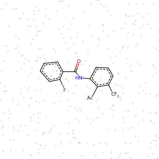 CC(=O)c1c(NC(=O)c2ccccc2F)cccc1C(F)(F)F